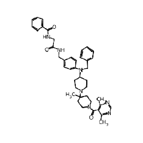 Cc1ncnc(C)c1C(=O)N1CCC(C)(N2CCC(N(Cc3ccccc3)c3ccc(CNC(=O)CNC(=O)c4ccccc4)cc3)CC2)CC1